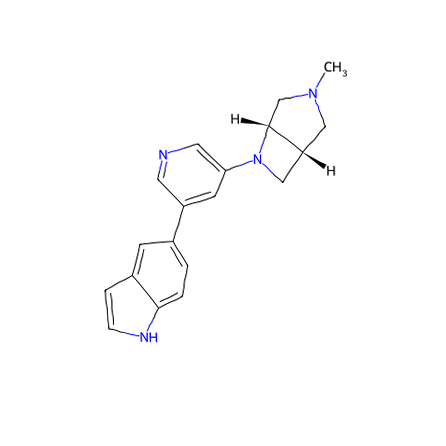 CN1C[C@@H]2CN(c3cncc(-c4ccc5[nH]ccc5c4)c3)[C@@H]2C1